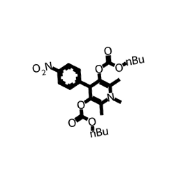 CCCCOC(=O)OC1=C(C)N(C)C(C)=C(OC(=O)OCCCC)C1c1ccc([N+](=O)[O-])cc1